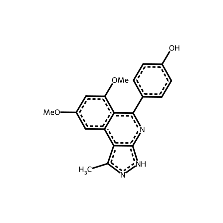 COc1cc(OC)c2c(-c3ccc(O)cc3)nc3[nH]nc(C)c3c2c1